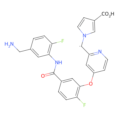 NCc1ccc(F)c(NC(=O)c2ccc(F)c(Oc3ccnc([CH]n4ccc(C(=O)O)c4)c3)c2)c1